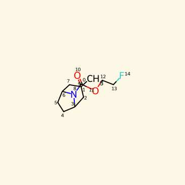 CC1CC2CCC(C1)N2C(=O)OCCF